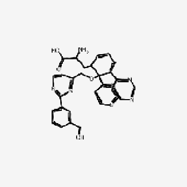 NC(CC1C=CC=C(c2ccncn2)C1(OCc1ccnc(-c2cccc(CO)c2)n1)c1ccncn1)C(=O)O